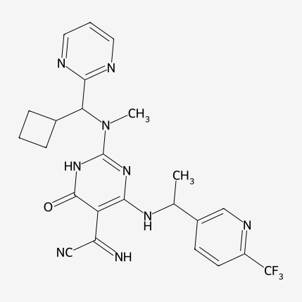 CC(Nc1nc(N(C)C(c2ncccn2)C2CCC2)[nH]c(=O)c1C(=N)C#N)c1ccc(C(F)(F)F)nc1